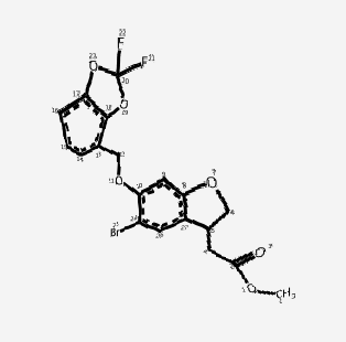 COC(=O)CC1COc2cc(OCc3cccc4c3OC(F)(F)O4)c(Br)cc21